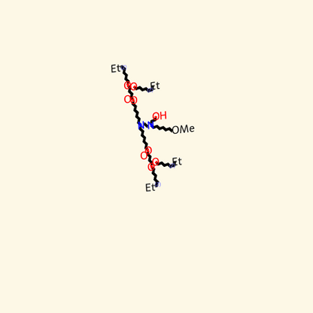 CC/C=C\CCCCOC(CCC(=O)OCCCCCCCN(CCCCCCCOC(=O)CCC(OCCCC/C=C\CC)OCCCC/C=C\CC)CCN(CCO)CCCCCCCOC)OCCCC/C=C\CC